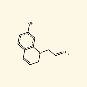 C=CCN1CC=Cc2ccc(O)cc21